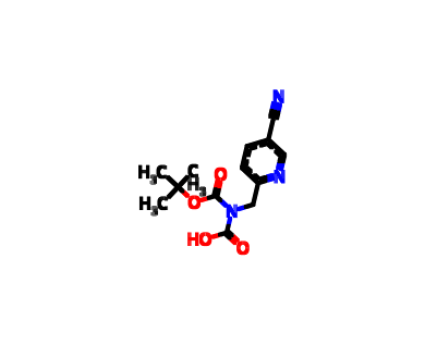 CC(C)(C)OC(=O)N(Cc1ccc(C#N)cn1)C(=O)O